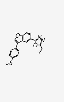 CCc1nnc(-c2ccc3occ(-c4ccc(SC)cc4)c3c2)o1